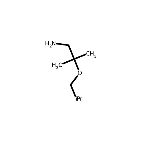 CC(C)COC(C)(C)CN